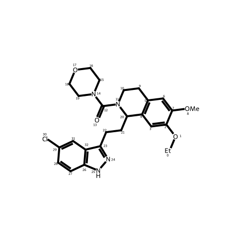 CCOc1cc2c(cc1OC)CCN(C(=O)N1CCOCC1)C2CCc1n[nH]c2ccc(Cl)cc12